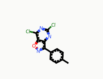 Cc1ccc(-c2noc3c(Cl)nc(Cl)nc23)cc1